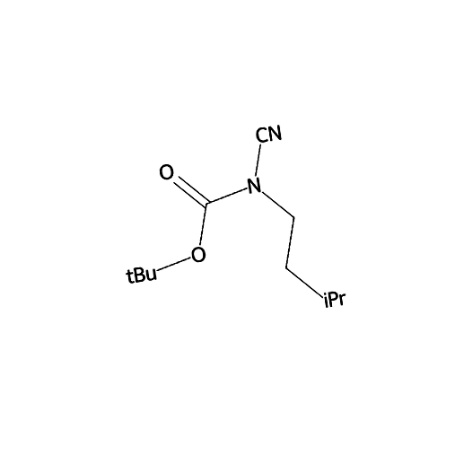 CC(C)CCN(C#N)C(=O)OC(C)(C)C